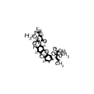 CC=CC(OC)(Oc1ccccc1Oc1cc(-n2c(=O)cc(C(F)(F)F)n(C)c2=O)c(F)cc1Cl)C(=O)O